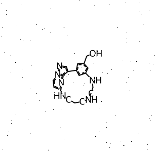 OCc1cc2cc(c1)-c1cnn3ccc(nc13)NCCCNCCN2